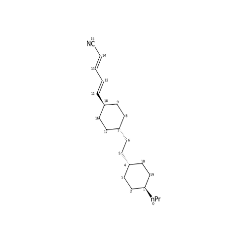 CCC[C@H]1CC[C@H](CC[C@H]2CC[C@H](/C=C/C=C/C#N)CC2)CC1